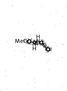 COc1ccc(-c2cc(Nc3ccc(OCc4ccccc4)cc3)n[nH]2)cc1